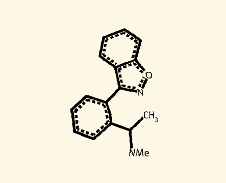 CNC(C)c1ccccc1-c1noc2ccccc12